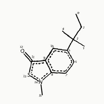 CCC(C)(C)c1ccc2c(c1)c(=O)sn2C